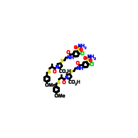 COc1ccc(CSCC(C)C(=O)N2CC(SCCNC(=O)c3ccc(Cl)c(S(N)(=O)=O)c3)C[C@H]2C(=O)O)cc1.COc1ccc(CSCC(C)C(=O)N2CC(SCCNC(=O)c3ccc(Cl)c(S(N)(=O)=O)c3)C[C@H]2C(=O)O)cc1